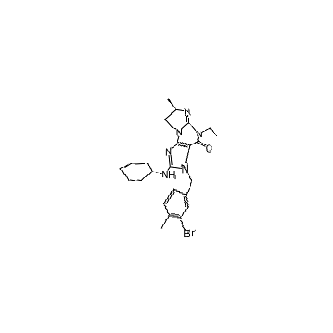 CCN1C(=O)c2c(nc(NC3CCCCC3)n2Cc2ccc(C)c(Br)c2)N2C[C@@H](C)N=C12